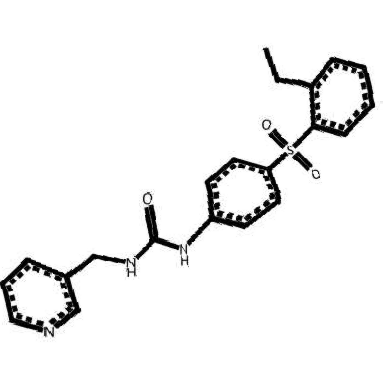 CCc1ccccc1S(=O)(=O)c1ccc(NC(=O)NCc2cccnc2)cc1